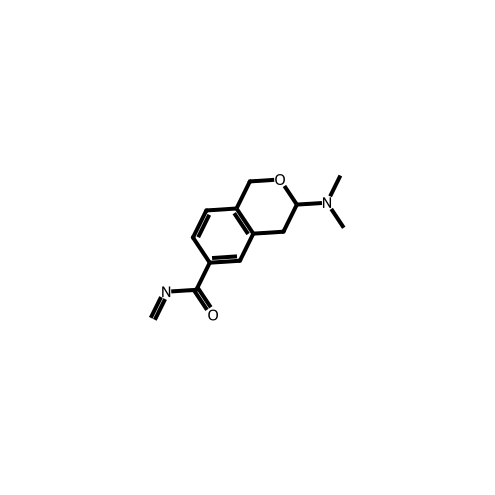 C=NC(=O)c1ccc2c(c1)CC(N(C)C)OC2